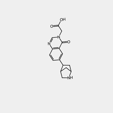 O=C(O)Cn1cnc2ccc(C3CC4CC3CN4)cc2c1=O